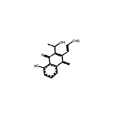 C=C1C(/C=C/C=O)=C(C(C)O)C(=O)c2c(O)cccc21